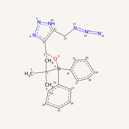 CC(C)(C)[Si](OCc1nn[nH]c1CN=[N+]=[N-])(c1ccccc1)c1ccccc1